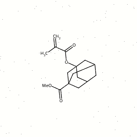 C=C(C)C(=O)OC12CC3CC(C1)CC(C(=O)OC)(C3)C2